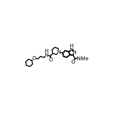 CNC(=O)c1n[nH]c2cc(N3CCCC(C(=O)NCCCOC4CCCCC4)C3)ccc12